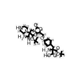 CC(C)(C)OC(=O)C(N)(Cc1ccc(OCC2CN(CC(C(=N)N)(C(=O)OC(C)(C)C)N3CCNCC3)C(=O)O2)cc1)C(=O)O